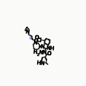 CC1C=C(C(=O)N(N)C2Nc3cccc(Cl)c3N2[C@@H]2CCCCN(C(=O)/C=C/CN3CCC3)C2)C=CN1